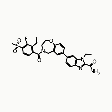 CCc1c(C(=O)N2CCOc3ccc(-c4ccc5nc(C(N)=O)n(CC)c5c4)cc3C2)ccc(S(C)(=O)=O)c1F